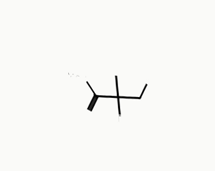 CCC(C)(CCl)C(=O)OC